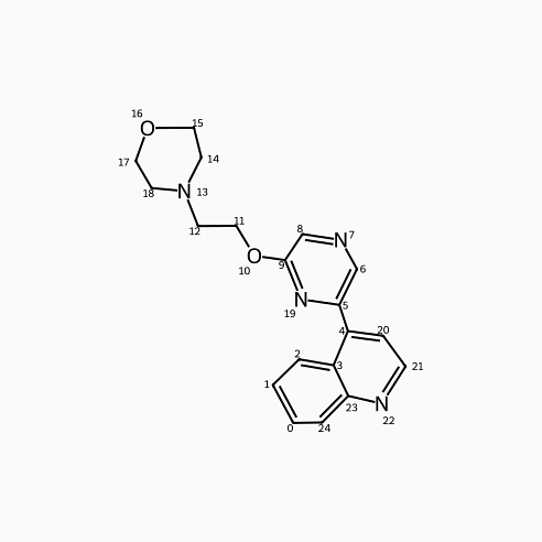 c1ccc2c(-c3cncc(OCCN4CCOCC4)n3)ccnc2c1